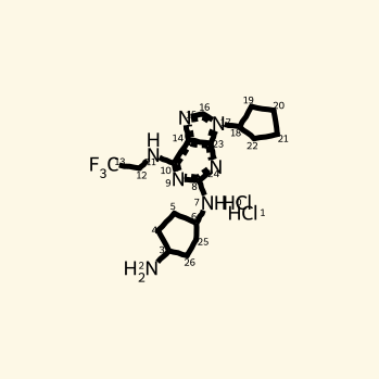 Cl.Cl.NC1CCC(Nc2nc(NCC(F)(F)F)c3ncn(C4CCCC4)c3n2)CC1